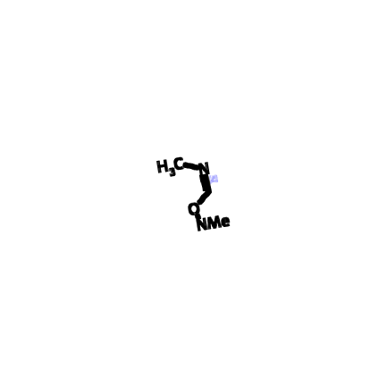 C/N=C\ONC